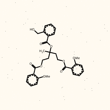 COc1ccccc1C(=O)OCCC(C)(CCOC(=O)c1ccccc1OC)OC(=O)c1ccccc1CO